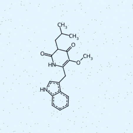 COC1=C(Cc2c[nH]c3ccccc23)NC(=O)C(CC(C)C)C1=O